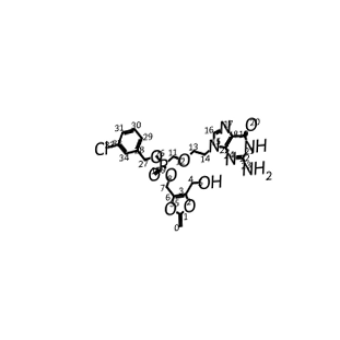 C=C1OC(CO)=C(COP(=O)(COCCn2cnc3c(=O)[nH]c(N)nc32)OCc2cccc(Cl)c2)O1